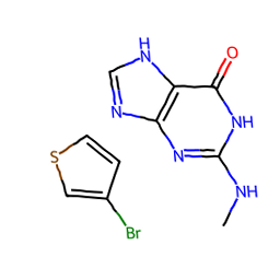 Brc1ccsc1.CNc1nc2nc[nH]c2c(=O)[nH]1